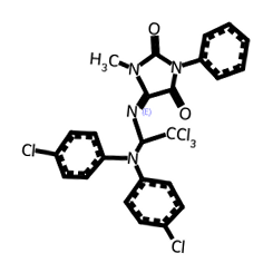 CN1C(=O)N(c2ccccc2)C(=O)/C1=N\C(N(c1ccc(Cl)cc1)c1ccc(Cl)cc1)C(Cl)(Cl)Cl